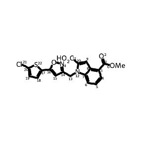 COC(=O)c1cccc2c1cc(C(=O)O)n2Cc1cc(-c2ccc(Cl)s2)on1